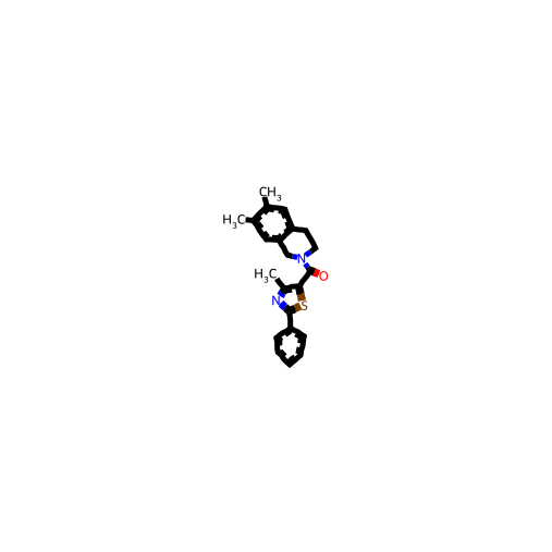 Cc1cc2c(cc1C)CN(C(=O)c1sc(-c3ccccc3)nc1C)CC2